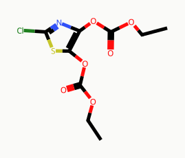 CCOC(=O)Oc1nc(Cl)sc1OC(=O)OCC